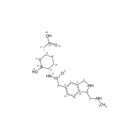 CNCC1NCc2cc(C[S+]([O-])N[C@H]3CC[C@@H](CC(=O)O)OB3O)ccc21